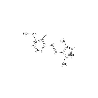 Cc1c(N=Nc2c(N)n[nH]c2N)cccc1OC(F)(F)F